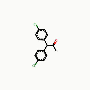 CC(=O)C(c1ccc(Cl)cc1)c1ccc(Cl)cc1